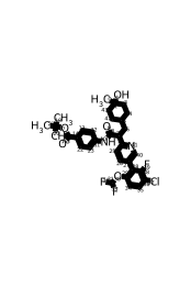 CC1(O)CCC(CC(C(=O)Nc2ccc(C(=O)OC(C)(C)C)cc2)c2ccc(-c3c(OC(F)F)ccc(Cl)c3F)cn2)CC1